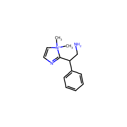 C[N+]1(C)C=CN=C1C(CN)c1ccccc1